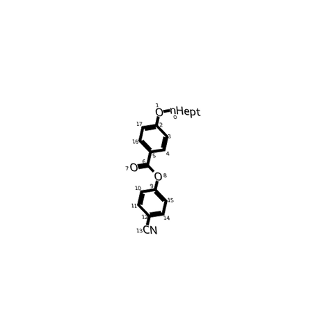 CCCCCCCOc1ccc(C(=O)Oc2ccc(C#N)cc2)cc1